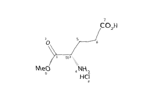 COC(=O)[C@@H](N)CCC(=O)O.Cl